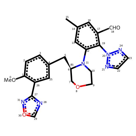 COc1ccc(C[C@@H]2COCCN2c2cc(C)cc(C=O)c2-n2nccn2)cc1-c1ncon1